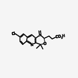 CC1(C)OC(CCC(=O)O)Nc2cc3cc(Cl)ccc3nc21